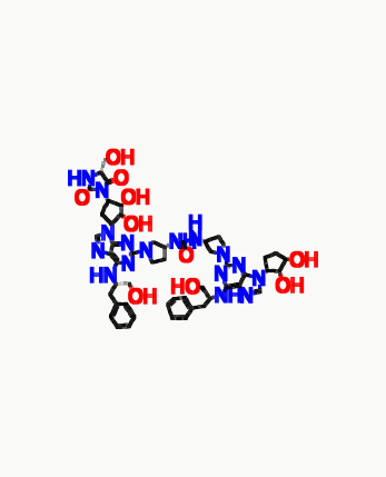 O=C(N[C@@H]1CCN(c2nc(N[C@H](CO)Cc3ccccc3)c3ncn([C@@H]4C[C@H](N5C(=O)N[C@H](CO)C5=O)[C@@H](O)[C@H]4O)c3n2)C1)N[C@@H]1CCN(c2nc(N[C@H](CO)Cc3ccccc3)c3ncn([C@@H]4CC[C@@H](O)[C@H]4O)c3n2)C1